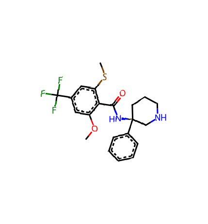 COc1cc(C(F)(F)F)cc(SC)c1C(=O)N[C@@]1(c2ccccc2)CCCNC1